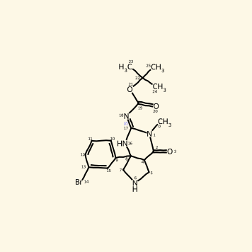 CN1C(=O)C2CNCC2(c2cccc(Br)c2)N/C1=N/C(=O)OC(C)(C)C